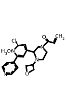 C=CC(=O)N1CCN(C2COC2)C(C2=C[C@H](Cl)N(C)C(c3ccncc3)=C2)C1